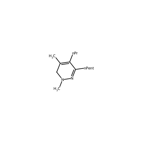 CCCCCC1=NN(C)CC(C)=C1CCC